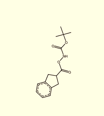 CC(C)(C)OC(=O)NOC(=O)C1Cc2ccccc2C1